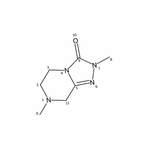 CN1CCn2c(nn(C)c2=O)C1